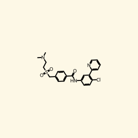 CN(C)CCS(=O)(=O)Cc1ccc(C(=O)Nc2ccc(Cl)c(-c3ccccn3)c2)cc1